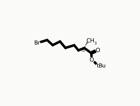 C[C@@H](CCCCCCBr)C(=O)OC(C)(C)C